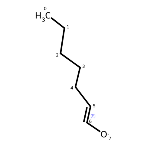 CCCCC/C=C/[O]